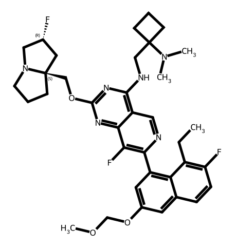 CCc1c(F)ccc2cc(OCOC)cc(-c3ncc4c(NCC5(N(C)C)CCC5)nc(OC[C@@]56CCCN5C[C@H](F)C6)nc4c3F)c12